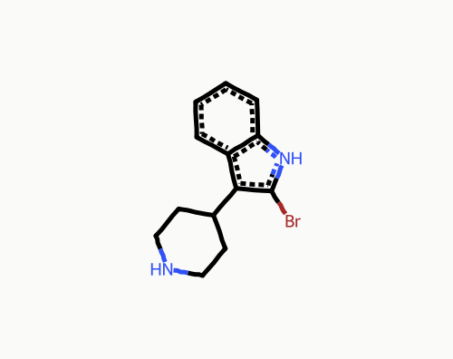 Brc1[nH]c2ccccc2c1C1CCNCC1